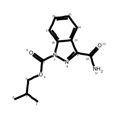 CC(C)COC(=O)n1nc(C(N)=O)c2ccccc21